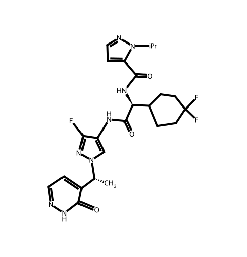 CC(C)n1nccc1C(=O)N[C@H](C(=O)Nc1cn([C@H](C)c2ccn[nH]c2=O)nc1F)C1CCC(F)(F)CC1